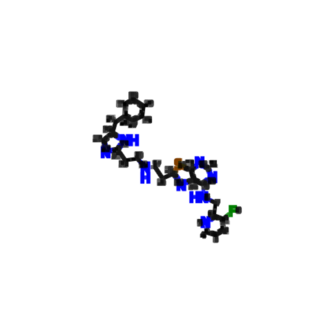 Fc1cccnc1CNc1ncnc2sc(CCNCCc3ncc(Cc4ccccc4)[nH]3)nc12